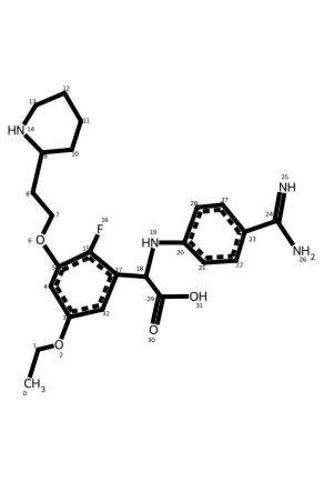 CCOc1cc(OCCC2CCCCN2)c(F)c(C(Nc2ccc(C(=N)N)cc2)C(=O)O)c1